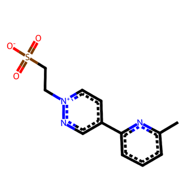 Cc1cccc(-c2cc[n+](CCS(=O)(=O)[O-])nc2)n1